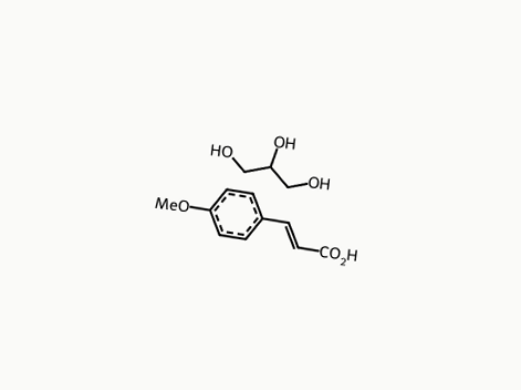 COc1ccc(C=CC(=O)O)cc1.OCC(O)CO